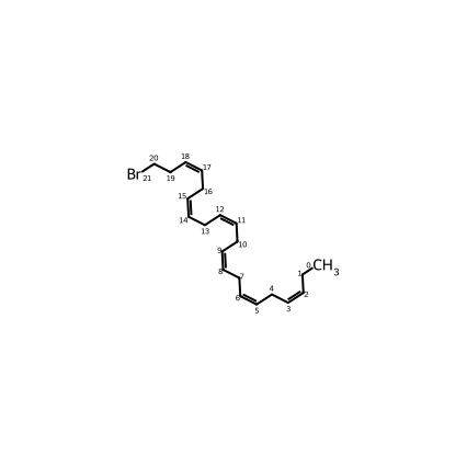 CC/C=C\C/C=C\C/C=C\C/C=C\C/C=C\C/C=C\CCBr